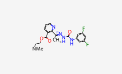 CNCCOC(=O)c1cccnc1/C(C)=N/NC(=O)Nc1cc(F)cc(F)c1